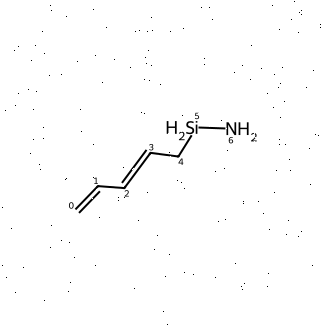 C=CC=CC[SiH2]N